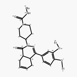 CCOc1ccc(C2=NN(C3CCN(C(=O)NC(C)(C)C)CC3)C(=O)C3CC=CCC23)cc1OCC